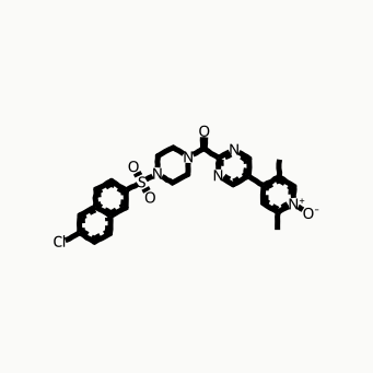 Cc1c[n+]([O-])c(C)cc1-c1cnc(C(=O)N2CCN(S(=O)(=O)c3ccc4cc(Cl)ccc4c3)CC2)nc1